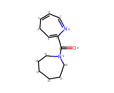 O=C(C1=CCC=CC=N1)N1CCCCCC1